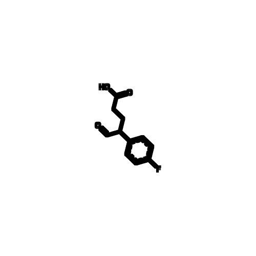 O=CC(CCC(=O)O)c1ccc(F)cc1